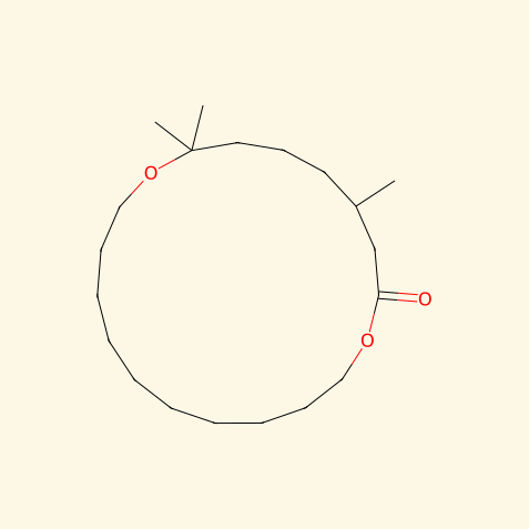 CC1CCCC(C)(C)OCCCCCCCCCCOC(=O)C1